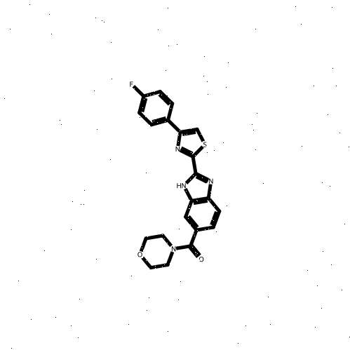 O=C(c1ccc2nc(-c3nc(-c4ccc(F)cc4)cs3)[nH]c2c1)N1CCOCC1